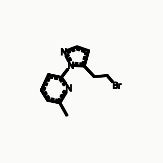 Cc1cccc(-n2nccc2CCBr)n1